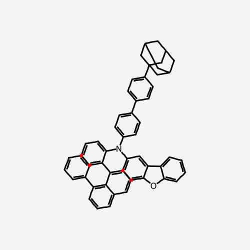 c1ccc(-c2cccc3cccc(-c4ccccc4N(c4ccc(-c5ccc(C67CC8CC(CC(C8)C6)C7)cc5)cc4)c4ccc5oc6ccccc6c5c4)c23)cc1